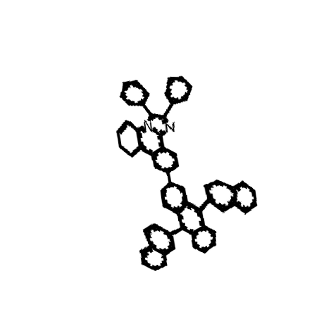 C1=Cc2c(c3cc(-c4ccc5c(-c6ccc7ccccc7c6)c6ccccc6c(-c6ccc7ccccc7c6)c5c4)ccc3c3nc(-c4ccccc4)c(-c4ccccc4)n23)CC1